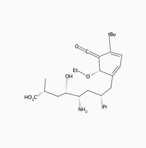 CCO[C@@H]1C(=C=O)C(C(C)(C)C)=CC=C1C[C@@H](C[C@H](N)[C@@H](O)C[C@@H](C)C(=O)O)C(C)C